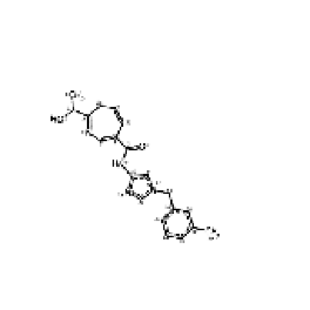 CC(O)C1=NC=C(C(=O)Nc2cn(Cc3cccc(C(F)(F)F)c3)cn2)C=CC1